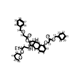 CC[C@@H](CC[C@@H]1[C@H]2Cc3cccc(OCC(=O)OCc4ccccc4)c3C[C@H]2C[C@H]1OC(=O)COCc1ccccc1)OC1CCCCO1